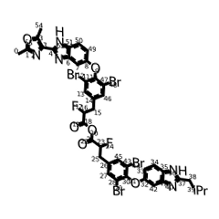 Cc1nc(-c2nc3cc(Oc4c(Br)cc(CC(F)C(=O)OC(=O)C(F)Cc5cc(Br)c(Oc6ccc7[nH]c(CC(C)C)nc7c6)c(Br)c5)cc4Br)ccc3[nH]2)c(C)o1